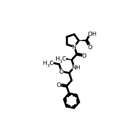 CCOC(CC(=O)c1ccccc1)N[C@@H](C)C(=O)N1CCC[C@H]1C(=O)O